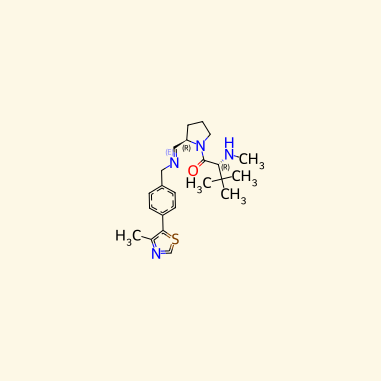 CN[C@@H](C(=O)N1CCC[C@@H]1/C=N/Cc1ccc(-c2scnc2C)cc1)C(C)(C)C